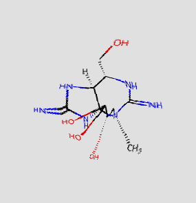 C[C@H]1[C@H](O)C(O)(O)[C@]23NC(=N)N[C@H]2[C@H](CO)NC(=N)N13